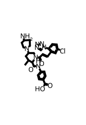 CC1CC(N2CCC(N)CC2)CN(C(=O)C=Cc2cc(Cl)ccc2-n2cnnn2)C1C(=O)Nc1ccc(C(=O)O)cc1